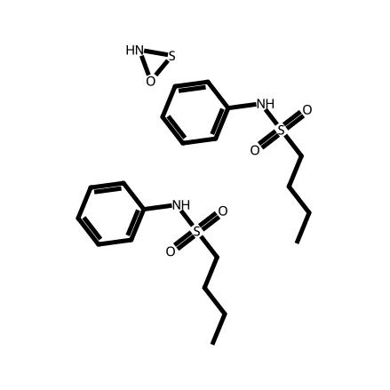 CCCCS(=O)(=O)Nc1ccccc1.CCCCS(=O)(=O)Nc1ccccc1.[nH]1os1